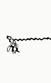 CCC=CCC=CCC=CCC=CCC=CCCCC(=O)N1CCCC1CNC(=O)c1cnc(C)c[n+]1[O-]